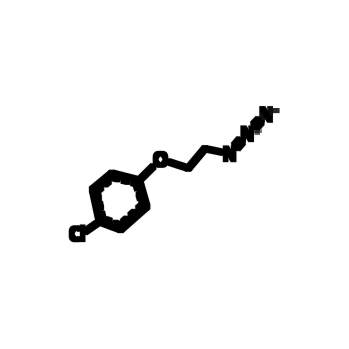 [N-]=[N+]=NCCOc1ccc(Cl)cc1